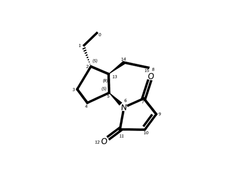 CC[C@H]1CC[C@H](N2C(=O)C=CC2=O)[C@@H]1CC